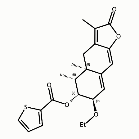 CCO[C@@H]1C=C2C=C3OC(=O)C(C)=C3C[C@]2(C)[C@@H](C)[C@H]1OC(=O)c1cccs1